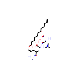 C=CCCCC(CCCCCCC)OC(=O)N[C@@H](CC(C)C)C(=O)N[C@@H](CC(CC=C)C(=O)NC)C(=O)O